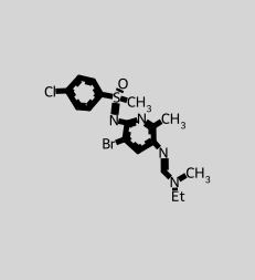 CCN(C)C=Nc1cc(Br)c(N=S(C)(=O)c2ccc(Cl)cc2)nc1C